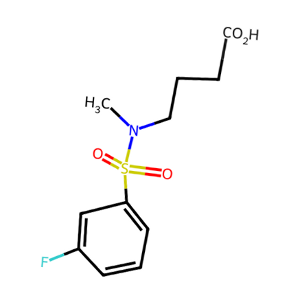 CN(CCCC(=O)O)S(=O)(=O)c1cccc(F)c1